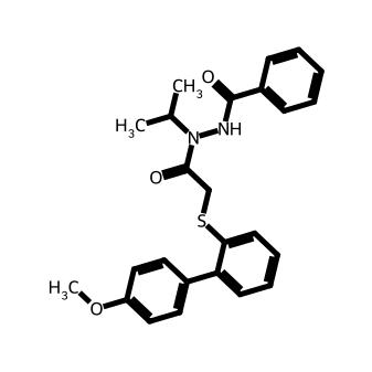 COc1ccc(-c2ccccc2SCC(=O)N(NC(=O)c2ccccc2)C(C)C)cc1